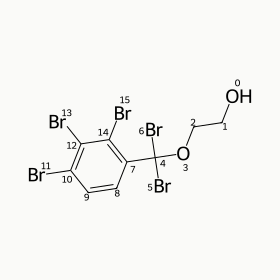 OCCOC(Br)(Br)c1ccc(Br)c(Br)c1Br